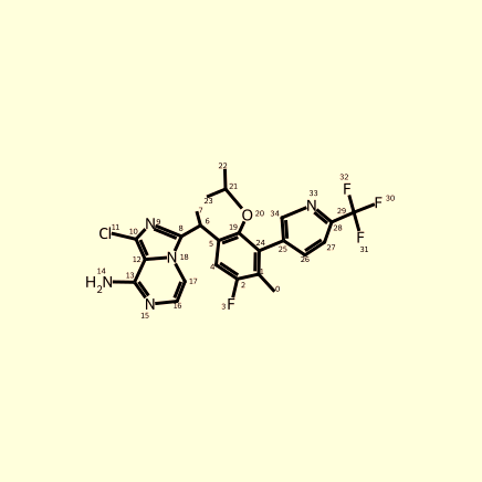 Cc1c(F)cc(C(C)c2nc(Cl)c3c(N)nccn23)c(OC(C)C)c1-c1ccc(C(F)(F)F)nc1